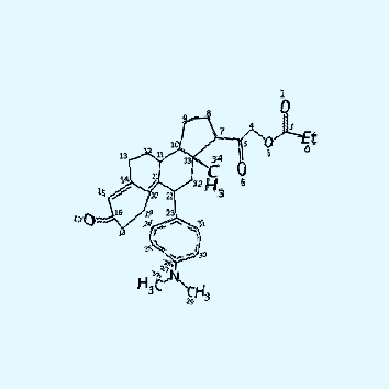 CCC(=O)OCC(=O)C1CCC2C3CCC4=CC(=O)CCC4=C3C(c3ccc(N(C)C)cc3)CC12C